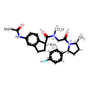 CNC(=O)Nc1ccc2c(c1)CC[C@]2(C)C(=O)N(CC(=O)N1[C@@H](C)CC[C@H]1c1ccc(F)cc1)C(=O)O